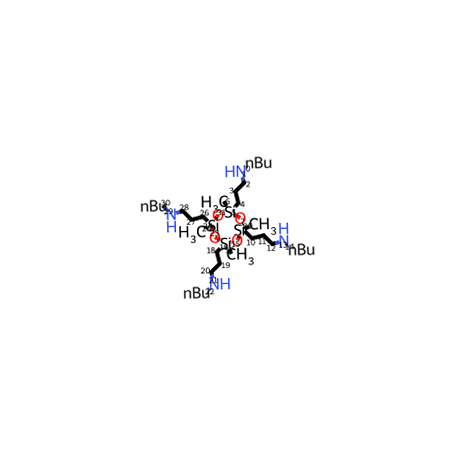 CCCCNCCC[Si]1(C)O[Si](C)(CCCNCCCC)O[Si](C)(CCCNCCCC)O[Si](C)(CCCNCCCC)O1